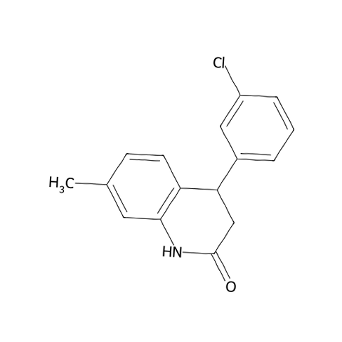 Cc1ccc2c(c1)NC(=O)CC2c1cccc(Cl)c1